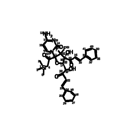 C[Si](C)(C)CC(=O)[C@@]1(n2ccc(N)nc2=O)O[C@H](C(O)C(=O)C=Cc2ccccc2)[C@](O)(C(=O)C=Cc2ccccc2)C1(F)F